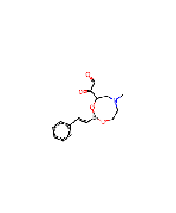 CN1CCOB(/C=C/c2ccccc2)OC(C(=O)C=O)C1